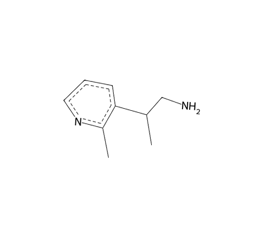 Cc1ncccc1C(C)CN